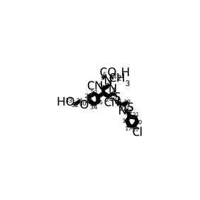 [C-]#[N+]c1c(N(C)CC(=O)O)nc(SCc2csc(-c3ccc(Cl)cc3)n2)c(C#N)c1-c1ccc(OCCO)cc1